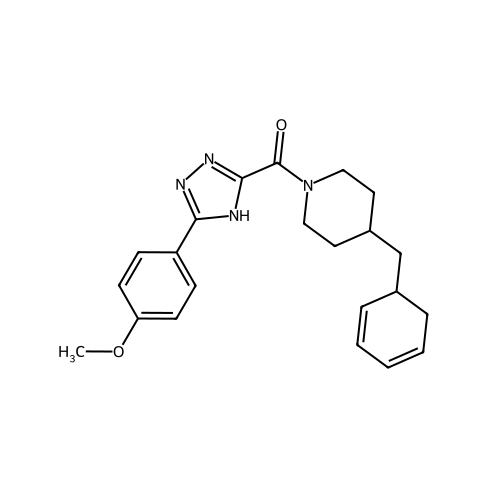 COc1ccc(-c2nnc(C(=O)N3CCC(CC4C=CC=CC4)CC3)[nH]2)cc1